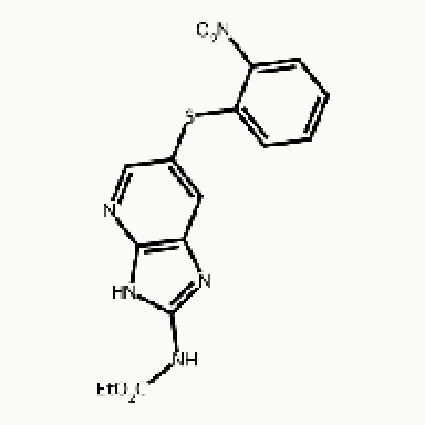 CCOC(=O)Nc1nc2cc(Sc3ccccc3[N+](=O)[O-])cnc2[nH]1